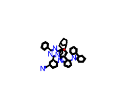 CCC1(c2nc(-c3ccccc3)nc(-c3cc(C#N)ccc3-n3c4ccccc4c4c(-n5c6ccccc6c6ccccc65)cccc43)n2)CC2CCC(C2)C1